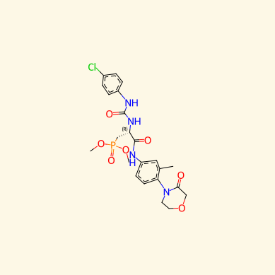 COP(=O)(C[C@H](NC(=O)Nc1ccc(Cl)cc1)C(=O)Nc1ccc(N2CCOCC2=O)c(C)c1)OC